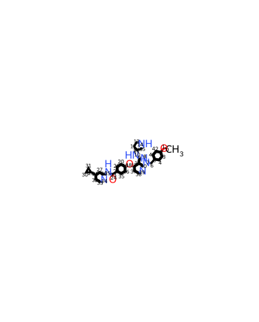 COc1ccc(Cn2nc(N[C@@H]3CCNC3)c3c(Oc4ccc(C(=O)Nc5cc(C6CC6)ccn5)cc4)ccnc32)cc1